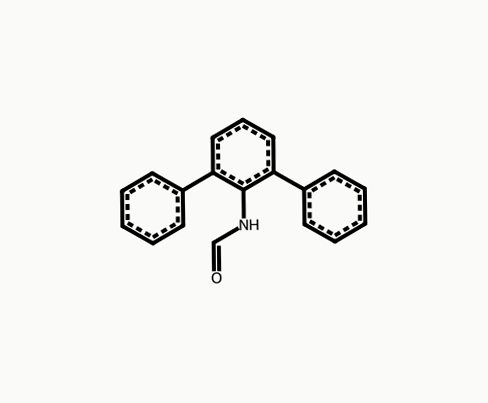 O=CNc1c(-c2ccccc2)cccc1-c1ccccc1